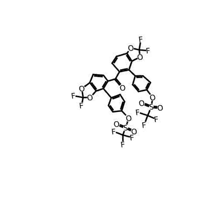 O=C(c1ccc2c(c1-c1ccc(OS(=O)(=O)C(F)(F)F)cc1)OC(F)(F)O2)c1ccc2c(c1-c1ccc(OS(=O)(=O)C(F)(F)F)cc1)OC(F)(F)O2